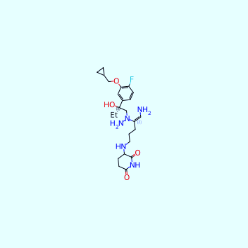 CC[C@@](O)(CN(N)/C(=C\N)CCCNC1CCC(=O)NC1=O)c1ccc(F)c(OCC2CC2)c1